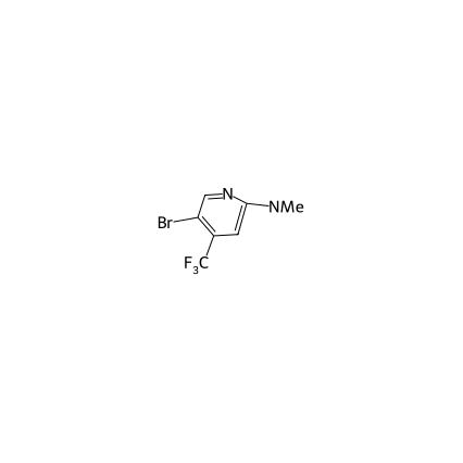 CNc1cc(C(F)(F)F)c(Br)cn1